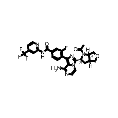 CC(=O)N1[C@@H]2COC[C@@H]2C[C@H]1c1nc(-c2ccc(C(=O)Nc3cc(C(F)(F)F)ccn3)cc2F)c2c(N)nccn12